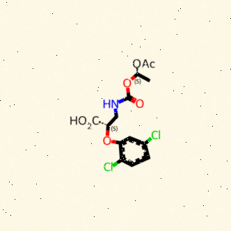 CC(=O)O[C@H](C)OC(=O)NC[C@H](Oc1cc(Cl)ccc1Cl)C(=O)O